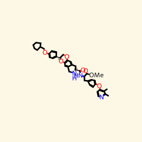 COC(=O)C(Cc1ccc(Oc2ccnc(C)c2C)cc1)NC(=O)[C@@H]1Cc2cc3c(cc2CN1)O[C@@H](c1ccc(OCC2CCCCC2)cc1)CO3